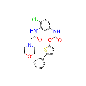 O=C(CN1CCOCC1)Nc1cc(NC(=O)Oc2ccc(-c3ccccc3)s2)ccc1Cl